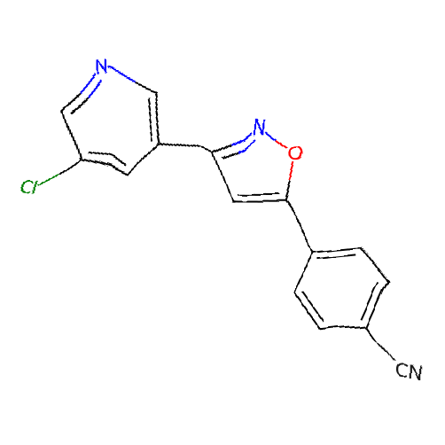 N#Cc1ccc(-c2cc(-c3cncc(Cl)c3)no2)cc1